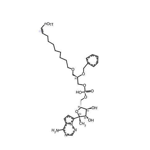 CCCCCCCC/C=C\CCCCCCCCOC[C@H](COP(=O)(O)OC[C@H]1O[C@@](C)(c2ccc3c(N)ncnn23)[C@H](O)[C@@H]1O)OCc1ccccc1